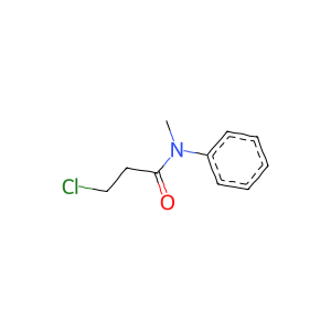 CN(C(=O)CCCl)c1ccccc1